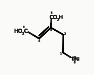 CC(C)(C)CCC(=CC(=O)O)C(=O)O